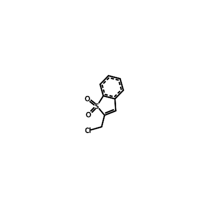 O=S1(=O)C(CCl)=Cc2ccccc21